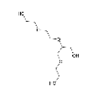 OCCOCCOC(CO)COCCO